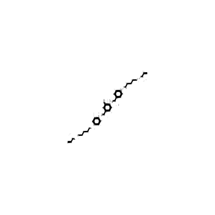 C=CC(=O)OCCCCCOc1ccc(NC(=O)c2ccc(NC(=O)c3ccc(OCCCCCOC(=O)C=C)cc3)c(Cl)c2)cc1